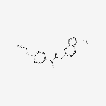 Cn1ccc2cc(CNC(=O)c3ccc(OCC(F)(F)F)nc3)ccc21